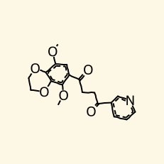 COc1cc(C(=O)CCC(=O)c2cccnc2)c(OC)c2c1OCCO2